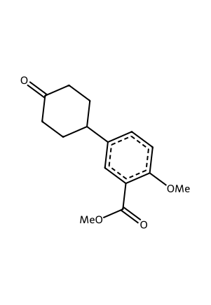 COC(=O)c1cc(C2CCC(=O)CC2)ccc1OC